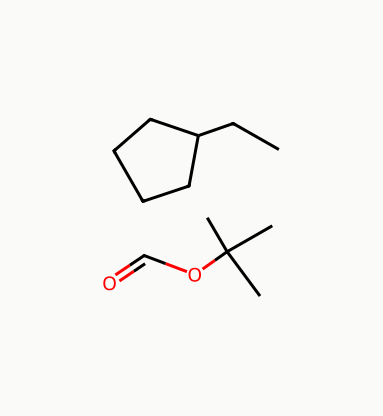 CC(C)(C)OC=O.CCC1CCCC1